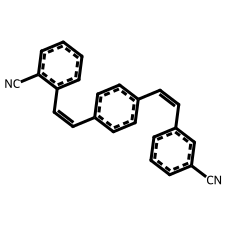 N#Cc1cccc(/C=C\c2ccc(/C=C\c3ccccc3C#N)cc2)c1